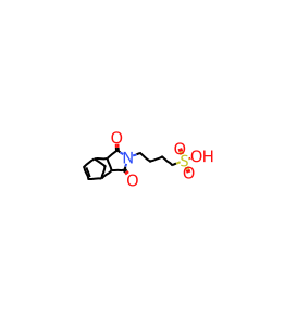 O=C1C2C3C=CC(C3)C2C(=O)N1CCCCS(=O)(=O)O